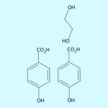 O=C(O)c1ccc(O)cc1.O=C(O)c1ccc(O)cc1.OCCO